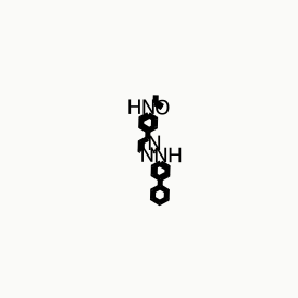 CC(=O)Nc1ccc(-c2ccnc(Nc3ccc(C4CCCCC4)cc3)n2)cc1